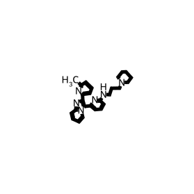 Cc1cccc(-c2nc3ccccn3c2-c2cccc(NCCCN3CCCCC3)n2)n1